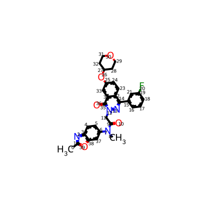 Cc1nc2ccc(N(C)C(=O)Cn3nc(-c4cccc(F)c4)c4ccc(OC5CCOCC5)cc4c3=O)cc2o1